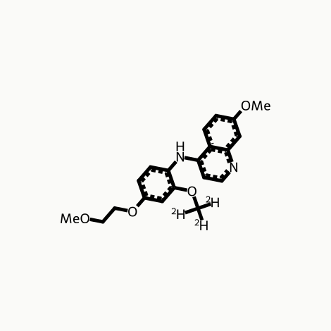 [2H]C([2H])([2H])Oc1cc(OCCOC)ccc1Nc1ccnc2cc(OC)ccc12